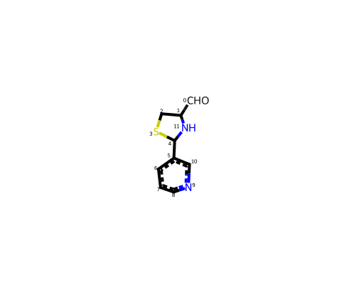 O=CC1CSC(c2cccnc2)N1